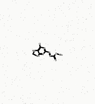 CC(C)(C)OC(=O)N=Nc1nc(Cl)c2c(n1)NCN2